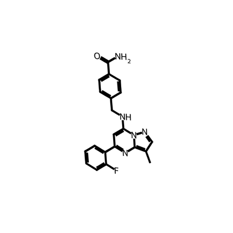 Cc1cnn2c(NCc3ccc(C(N)=O)cc3)cc(-c3ccccc3F)nc12